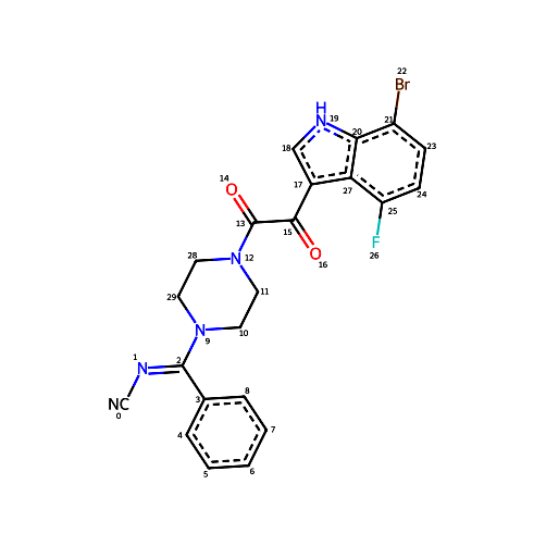 N#C/N=C(\c1ccccc1)N1CCN(C(=O)C(=O)c2c[nH]c3c(Br)ccc(F)c23)CC1